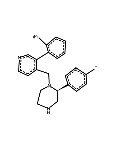 CC(C)c1ccccc1-c1cnccc1CN1CCNC[C@@H]1c1ccc(F)cc1